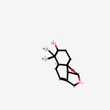 CC1(C)C(O)CCC23COC4OCC(=CCC12)C43